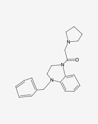 O=C(CN1CCCC1)N1CCN(Cc2ccccc2)c2ccccc21